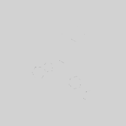 CC(C)(C)C(=O)OCOC(=O)c1sc2cccc(Cl)c2c1COc1c(F)cc(C(N)=O)cc1F